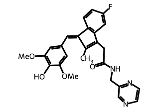 COc1cc(C=C2C(C)=C(CC(=O)NCc3cnccn3)c3cc(F)ccc32)cc(OC)c1O